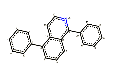 c1ccc(-c2cccc3c(-c4ccccc4)nccc23)cc1